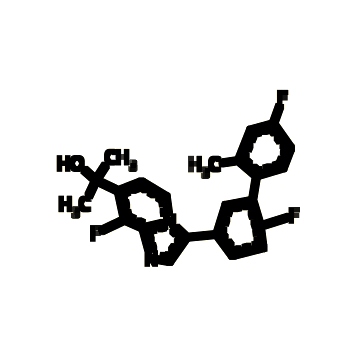 Cc1cc(F)ccc1-c1cc(-c2cnc3c(F)c(C(C)(C)O)ccn23)ccc1F